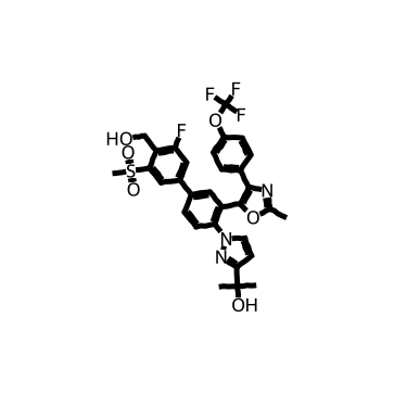 Cc1nc(-c2ccc(OC(F)(F)F)cc2)c(-c2cc(-c3cc(F)c(CO)c(S(C)(=O)=O)c3)ccc2-n2ccc(C(C)(C)O)n2)o1